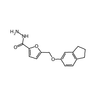 NNC(=O)c1ccc(COc2ccc3c(c2)CCC3)o1